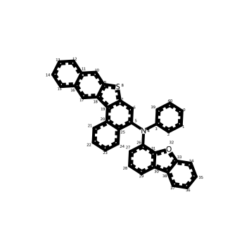 c1ccc(N(c2cc3sc4cc5ccccc5cc4c3c3ccccc23)c2cccc3c2oc2ccccc23)cc1